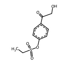 CCS(=O)(=O)Oc1ccc(C(=O)CO)cc1